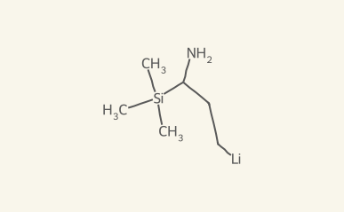 [Li][CH2]CC(N)[Si](C)(C)C